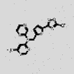 FC(F)(F)c1cc(N(Cc2ccc(-c3noc(C(F)(F)F)n3)s2)c2cnccn2)ncn1